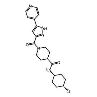 CC[C@H]1CC[C@@H](NC(=O)C2CCN(C(=O)c3cc(-c4ccncc4)[nH]n3)CC2)CC1